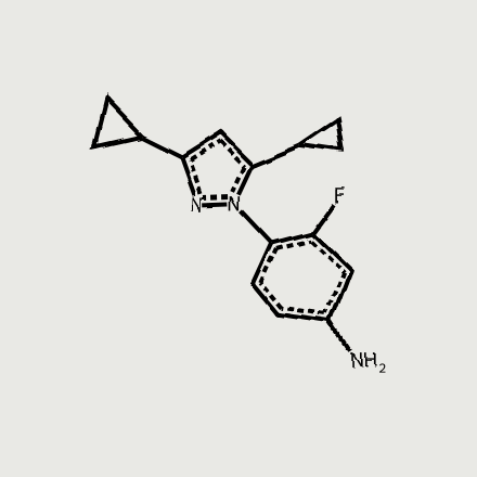 Nc1ccc(-n2nc(C3CC3)cc2C2CC2)c(F)c1